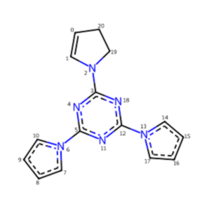 C1=CN(c2nc(-n3cccc3)nc(-n3cccc3)n2)CC1